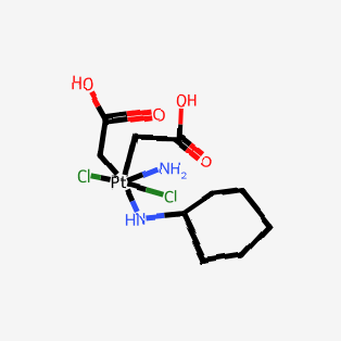 [NH2][Pt]([Cl])([Cl])([CH2]C(=O)O)([CH2]C(=O)O)[NH]C1CCCCC1